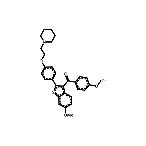 CCCOc1ccc(C(=O)c2c(-c3ccc(OCCN4CCCCC4)cc3)sc3cc(OC)ccc23)cc1